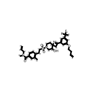 C=CCCOc1cc(C2=NC3(CCN(S(=O)(=O)CCc4ccc(C(=O)N(C)CC=C)cc4C)CC3O)C2)cc(C(F)(F)F)c1